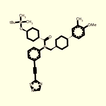 COc1ccc([C@H]2CC[C@H](CN(c3cccc(C#Cc4ncns4)c3)C(=O)[C@H]3CC[C@H](O[Si](C)(C)C(C)(C)C)CC3)CC2)cc1C